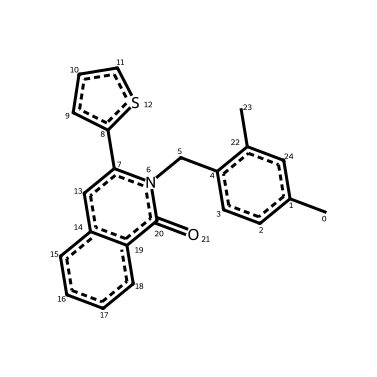 Cc1ccc(Cn2c(-c3cccs3)cc3ccccc3c2=O)c(C)c1